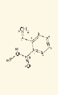 C=Cc1ccccc1C(=O)OF